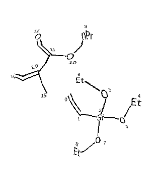 C=C[Si](OCC)(OCC)OCC.[CH2]CCOC(=O)C(=C)C